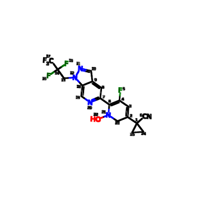 N#CC1(C2=CC(F)=C(c3cc4cnn(CC(F)(F)C(F)(F)F)c4cn3)N(O)C2)CC1